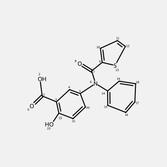 O=C(O)c1cc(N(C(=O)c2cccs2)c2ccccc2)ccc1O